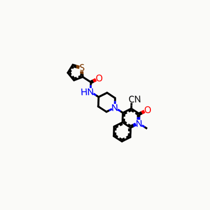 Cn1c(=O)c(C#N)c(N2CCC(NC(=O)c3cccs3)CC2)c2ccccc21